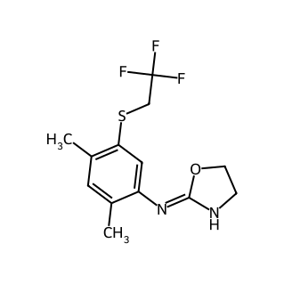 Cc1cc(C)c(SCC(F)(F)F)cc1/N=C1/NCCO1